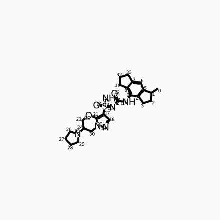 CC1CCc2c1cc1c(c2NC(=O)N=S(N)(=O)c2cnn3c2OCC(N2CCCC2)C3)CCC1